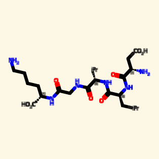 CC(C)C[C@H](NC(=O)[C@@H](N)CC(=O)O)C(=O)N[C@H](C(=O)NCC(=O)N[C@@H](CCCCN)C(=O)O)C(C)C